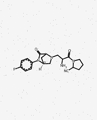 N#CC1CCCN1C(=O)C(N)CN1C[C@@H]2CC1C(=O)N2c1ccc(F)cc1